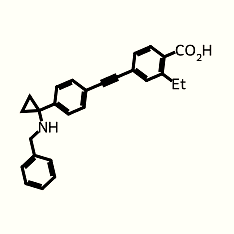 CCc1cc(C#Cc2ccc(C3(NCc4ccccc4)CC3)cc2)ccc1C(=O)O